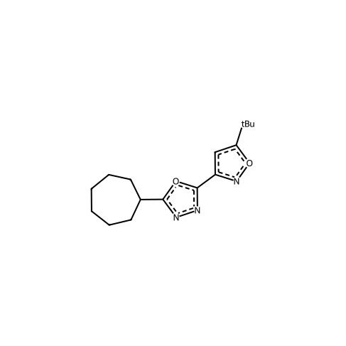 CC(C)(C)c1cc(-c2nnc(C3CCCCCC3)o2)no1